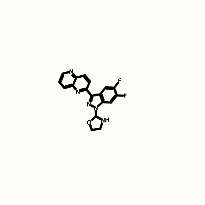 Fc1cc2c(-c3ccc4ncccc4n3)nn(C3NCCO3)c2cc1F